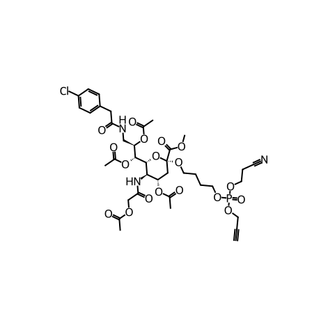 C#CCOP(=O)(OCCC#N)OCCCCO[C@]1(C(=O)OC)C[C@H](OC(C)=O)[C@@H](NC(=O)COC(C)=O)[C@H]([C@H](OC(C)=O)[C@@H](CNC(=O)Cc2ccc(Cl)cc2)OC(C)=O)O1